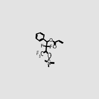 C=CC(=O)OC(c1ccccc1)C(F)(F)C(O[Si](C)(C)C)C(F)(F)F